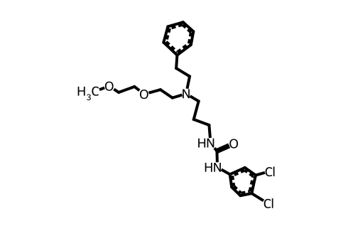 COCCOCCN(CCCNC(=O)Nc1ccc(Cl)c(Cl)c1)CCc1ccccc1